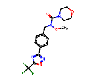 CON(Cc1ccc(-c2noc(C(F)(F)F)n2)cc1)C(=O)N1CCOCC1